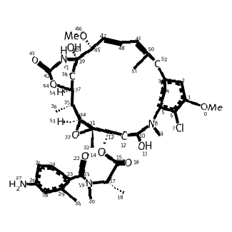 COc1cc2cc(c1Cl)N(C)C(O)C[C@H](OC(=O)[C@H](C)N(C)C(=O)c1ccc(N)cc1C)[C@]1(C)O[C@H]1[C@H](C)[C@@H]1C[C@@](O)(NC(=O)O1)[C@H](OC)/C=C/C=C(\C)C2